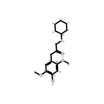 COc1cc(CC(=O)CSC2CCCCC2)c(OC)cc1Cl